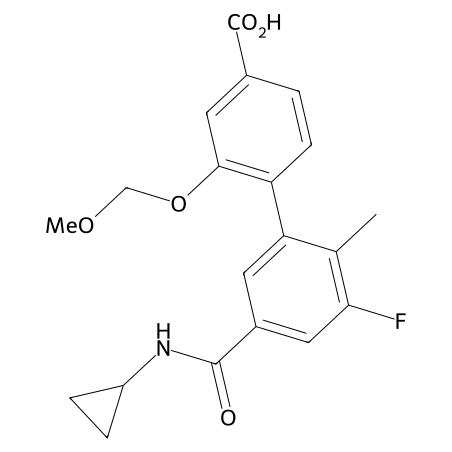 COCOc1cc(C(=O)O)ccc1-c1cc(C(=O)NC2CC2)cc(F)c1C